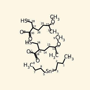 CCC[CH2][Sn+2][CH2]CCC.COC(C)CCC(CS)C(=O)[O-].COC(C)CCC(CS)C(=O)[O-]